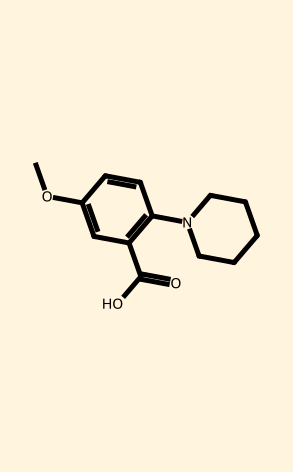 COc1ccc(N2CCCCC2)c(C(=O)O)c1